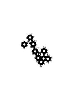 c1ccc(-n2c3ccccc3c3ccc(-c4ccc5c6ccccc6n(-c6ccccc6-c6cc7ccccc7c7ccccc67)c5c4)cc32)cc1